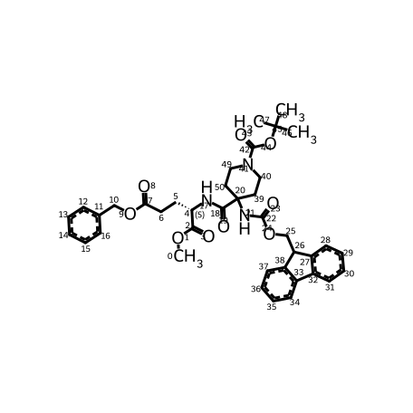 COC(=O)[C@H](CCC(=O)OCc1ccccc1)NC(=O)C1(NC(=O)OCC2c3ccccc3-c3ccccc32)CCN(C(=O)OC(C)(C)C)CC1